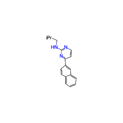 CC(C)CNc1nccc(-c2ccc3ccccc3c2)n1